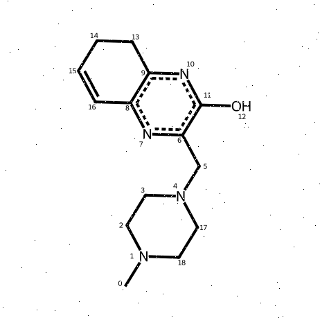 CN1CCN(Cc2nc3c(nc2O)CCC=C3)CC1